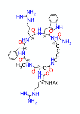 CC(=O)N[C@@H](CCCNC(=N)N)C(=O)N[C@H]1CC(=O)NCCCC[C@@H](C(N)=O)NC(=O)[C@H](Cc2c[nH]c3ccccc23)NC(=O)[C@H](CCCNC(=N)N)NC(=O)[C@@H](Cc2ccccc2)NC(=O)[C@@H](C)NC1=O